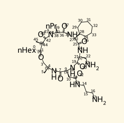 CCCCCC[C@H]1OC[C@H](C)NC(=O)[C@H](CC(=O)NCCCN)NC(=O)[C@H](CN)NC(=O)[C@H](C2CCCCCC2)NC(=O)[C@H](CCC)N(C)C(=O)[C@@H]1C